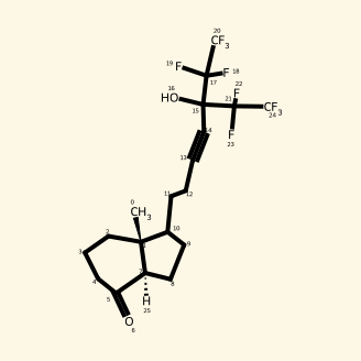 C[C@]12CCCC(=O)[C@@H]1CCC2CCC#CC(O)(C(F)(F)C(F)(F)F)C(F)(F)C(F)(F)F